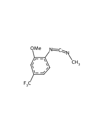 CN=C=Nc1ccc(C(F)(F)F)cc1OC